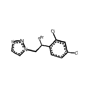 CCCC(Cn1ccnn1)c1ccc(Cl)cc1Cl